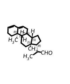 CC(C=O)[C@H]1CC[C@H]2[C@@H]3CC=C4C=CCC[C@]4(C)[C@H]3CC[C@]12C